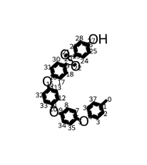 Cc1ccc(Oc2ccc(Oc3ccc(Oc4ccc(S(=O)(=O)c5ccc(O)cc5)cc4)cc3)cc2)cc1